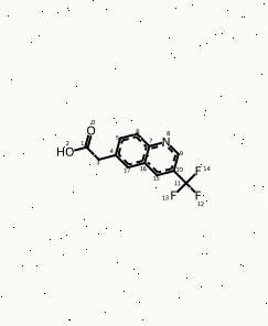 O=C(O)Cc1ccc2ncc(C(F)(F)F)cc2c1